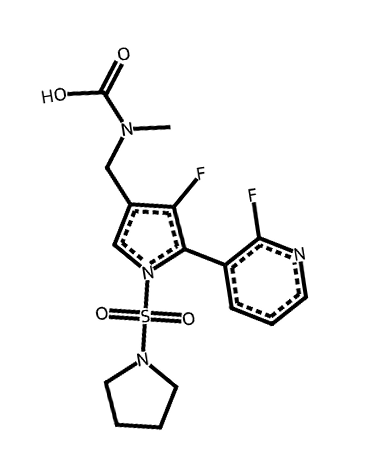 CN(Cc1cn(S(=O)(=O)N2CCCC2)c(-c2cccnc2F)c1F)C(=O)O